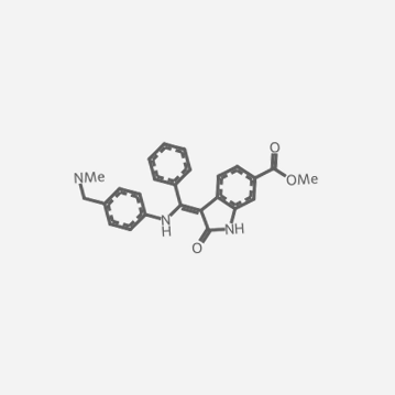 CNCc1ccc(N/C(=C2\C(=O)Nc3cc(C(=O)OC)ccc32)c2ccccc2)cc1